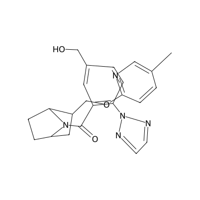 Cc1ccc(OCC2CC3CCC2N3C(=O)c2cc(CO)ccc2-n2nccn2)nc1